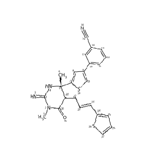 CN1C(=N)N[C@](C)(c2cc(-c3cccc(C#N)c3)cs2)C(C/C=C/c2cccs2)C1=O